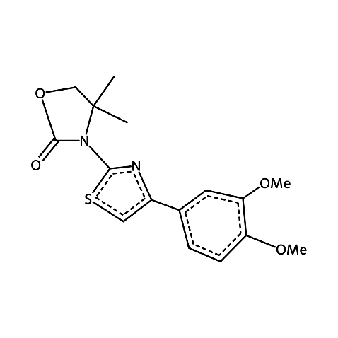 COc1ccc(-c2csc(N3C(=O)OCC3(C)C)n2)cc1OC